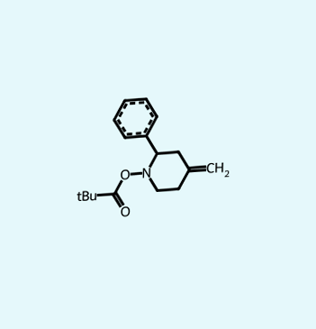 C=C1CCN(OC(=O)C(C)(C)C)C(c2ccccc2)C1